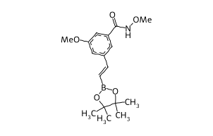 CONC(=O)c1cc(C=CB2OC(C)(C)C(C)(C)O2)cc(OC)c1